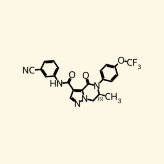 C[C@H]1Cn2ncc(C(=O)Nc3cccc(C#N)c3)c2C(=O)N1c1ccc(OC(F)(F)F)cc1